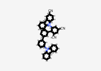 N#Cc1cc(C#N)c(-c2cccc(-c3cccc(-n4c5ccccc5c5ccccc54)c3)c2)c(-n2c3ccccc3c3cc(C#N)ccc32)c1